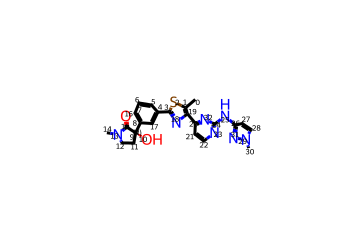 Cc1sc(-c2cccc([C@]3(O)CCN(C)C3=O)c2)nc1-c1ccnc(Nc2ccn(C)n2)n1